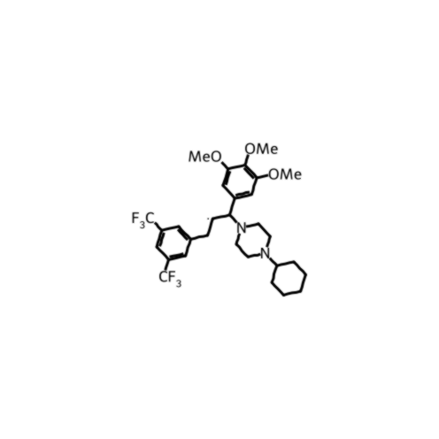 COc1cc(C([CH]Cc2cc(C(F)(F)F)cc(C(F)(F)F)c2)N2CCN(C3CCCCC3)CC2)cc(OC)c1OC